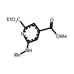 CCOC(=O)c1cc(C(=O)OC)cc(NC(C)CC)n1